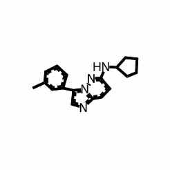 Cc1cccc(-c2cnc3ccc(NC4CCCC4)nn23)c1